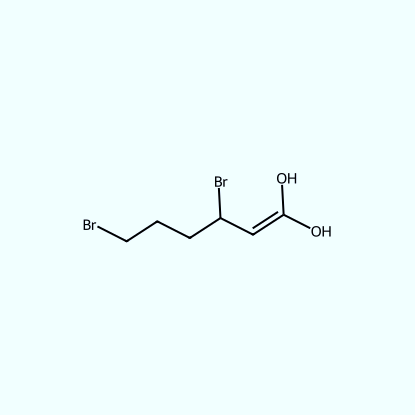 OC(O)=CC(Br)CCCBr